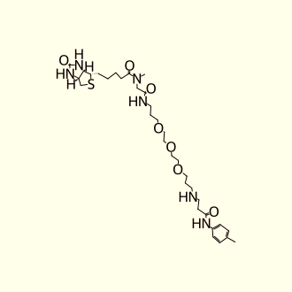 Cc1ccc(NC(=O)CCNCCCOCCOCCOCCCNC(=O)CN(C)C(=O)CCCC[C@@H]2SC[C@@H]3NC(=O)N[C@@H]32)cc1